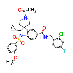 COc1cccc(S(=O)(=O)N2c3ccc(C(=O)NCc4ccc(F)cc4Cl)cc3C3(CCN(C(C)=O)CC3)C2C2CC2)c1